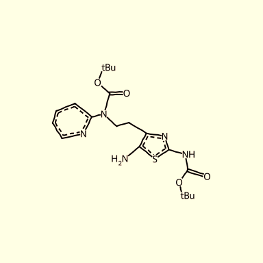 CC(C)(C)OC(=O)Nc1nc(CCN(C(=O)OC(C)(C)C)c2ccccn2)c(N)s1